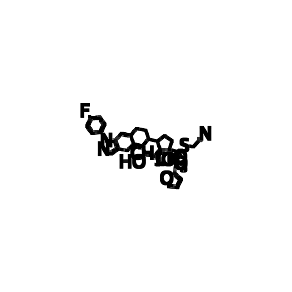 CC12Cc3cnn(-c4ccc(F)cc4)c3C=C1CCC1C2C(O)CC2(C)C1CCC2(OC(=O)c1ccco1)C(=O)SCC#N